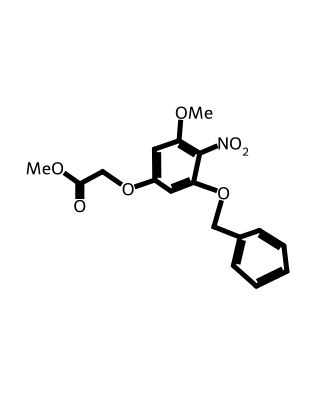 COC(=O)COc1cc(OC)c([N+](=O)[O-])c(OCc2ccccc2)c1